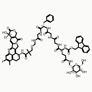 CC[C@@]1(O)C(=O)OCc2c1cc1n(c2=O)Cc2c-1nc1cc(F)c(C)c3c1c2[C@@H](NC(=O)C(C)(C)COCNC(=O)CNC(=O)[C@H](Cc1ccccc1)NC(=O)CNC(=O)CNC(=O)[C@H](CCC(=O)NC[C@@H]1O[C@H](CO)[C@@H](O)[C@H](O)[C@H]1O)NC(=O)OCC1c2ccccc2-c2ccccc21)CC3